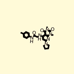 Cc1ccc(NC(=O)CNc2cc(N3CCCC3)nc3c2c(=O)n(C)c(=O)n3C)cc1